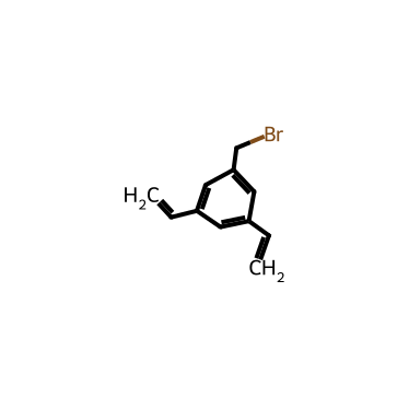 C=Cc1cc(C=C)cc(CBr)c1